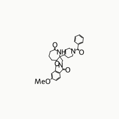 COc1ccc2c(c1)CN(CC1(C3CCN(C(=O)c4ccccc4)CC3)NC(=O)CCCC1=O)C2=O